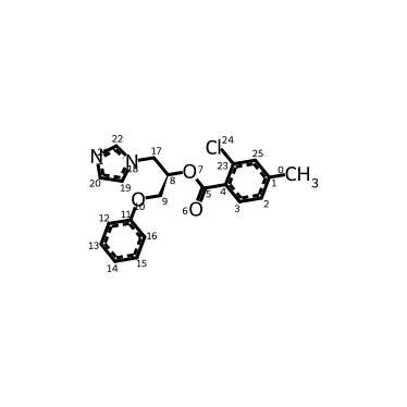 Cc1ccc(C(=O)O[C@@H](COc2ccccc2)Cn2ccnc2)c(Cl)c1